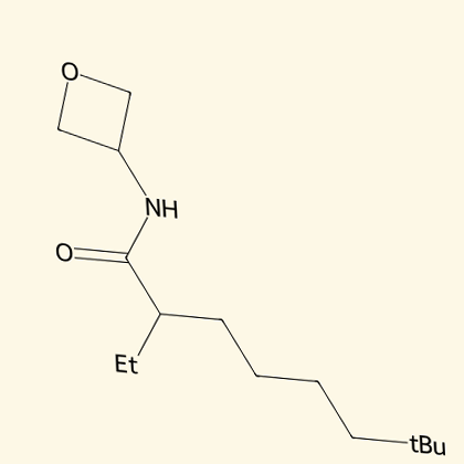 CCC(CCCCC(C)(C)C)C(=O)NC1COC1